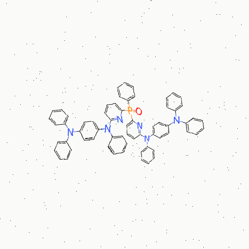 O=P(c1ccccc1)(c1cccc(N(c2ccccc2)c2ccc(N(c3ccccc3)c3ccccc3)cc2)n1)c1cccc(N(c2ccccc2)c2ccc(N(c3ccccc3)c3ccccc3)cc2)n1